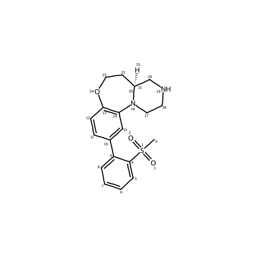 CS(=O)(=O)c1ccccc1-c1ccc2c(c1)N1CCNC[C@@H]1CCO2